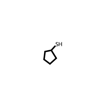 S[C]1CCCC1